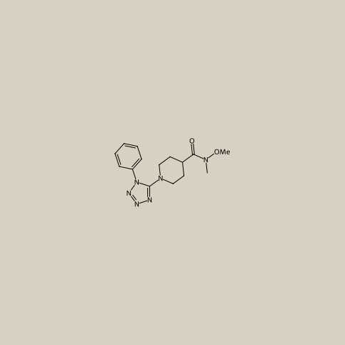 CON(C)C(=O)C1CCN(c2nnnn2-c2ccccc2)CC1